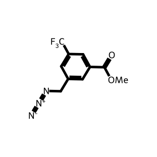 COC(=O)c1cc(CN=[N+]=[N-])cc(C(F)(F)F)c1